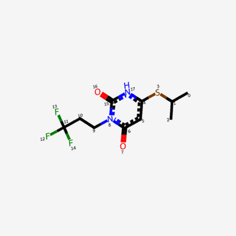 CC(C)Sc1cc(=O)n(CCC(F)(F)F)c(=O)[nH]1